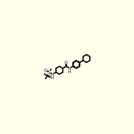 CC(C)(C)[SH](C)(=O)NC1CCC(C(=O)Nc2ccc(C3CCCCC3)cc2)CC1